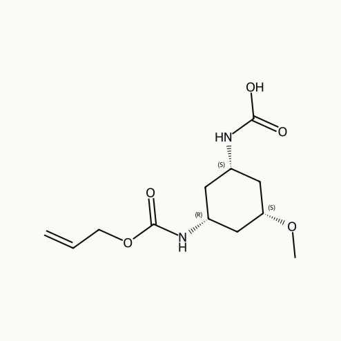 C=CCOC(=O)N[C@@H]1C[C@H](NC(=O)O)C[C@H](OC)C1